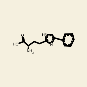 N[C@H](CCc1nc(-c2ccccc2)c[nH]1)C(=O)O